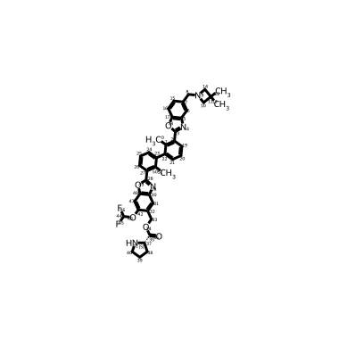 Cc1c(-c2nc3cc(CN4CC(C)(C)C4)ccc3o2)cccc1-c1cccc(-c2nc3cc(COC(=O)[C@@H]4CCCN4)c(OC(F)F)cc3o2)c1C